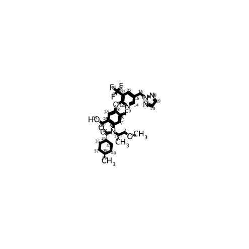 COC[C@H](C)N(c1cc(F)c(Oc2ncc(Cn3nccn3)cc2C(F)(F)F)cc1C(=O)O)C(=O)[C@H]1CC[C@H](C)CC1